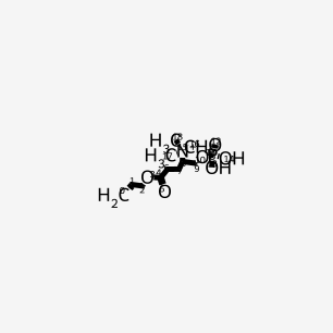 C=CCOC(=O)CCC(COP(=O)(O)O)[N+](C)(C)C